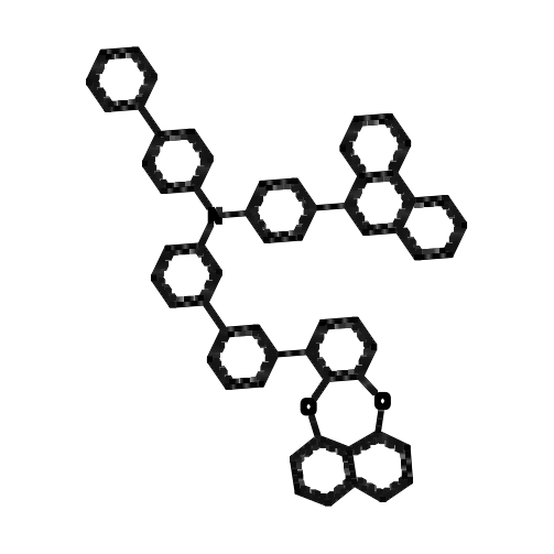 c1ccc(-c2ccc(N(c3ccc(-c4cc5ccccc5c5ccccc45)cc3)c3cccc(-c4cccc(-c5cccc6c5Oc5cccc7cccc(c57)O6)c4)c3)cc2)cc1